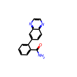 NC(=O)c1ccccc1-c1ccc2nccnc2c1